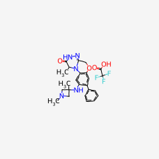 CC1C(=O)NN=C2COc3cc(-c4ccccc4)c(NC4(C)CN(C)C4)cc3N21.O=C(O)C(F)(F)F